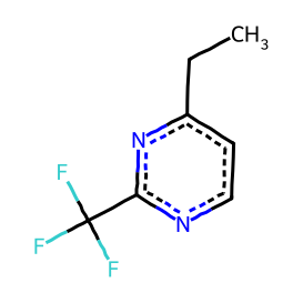 CCc1ccnc(C(F)(F)F)n1